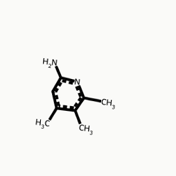 Cc1cc(N)nc(C)c1C